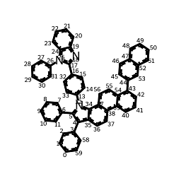 c1ccc(-c2c(-c3ccccc3)n(-c3ccc(-c4nc5ccccc5n4-c4ccccc4)cc3)c3c2ccc2c4cccc(-c5ccc6ccccc6c5)c4ccc23)cc1